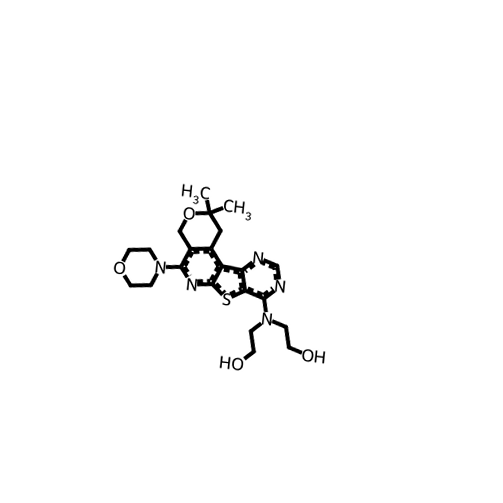 CC1(C)Cc2c(c(N3CCOCC3)nc3sc4c(N(CCO)CCO)ncnc4c23)CO1